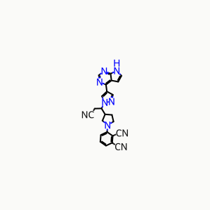 N#CCC(C1CCN(c2cccc(C#N)c2C#N)C1)n1cc(-c2ncnc3[nH]ccc23)cn1